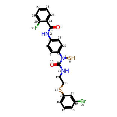 O=C(Nc1ccc(N(S)C(=O)NCCSc2cccc(Br)c2)cc1)c1ccccc1F